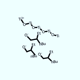 CCCCC(CC)C[O-].CCCCC(CC)C[O-].CCCCC(CC)C[O-].[Ti][O][Ti][O][Ti][O][Ti][O][Ti+3]